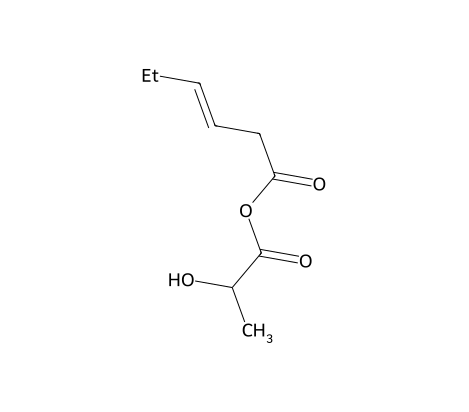 CCC=CCC(=O)OC(=O)C(C)O